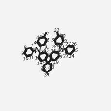 Cc1ccc(N(c2ccccc2)c2ccc(C3(c4ccc(N(c5ccccc5)c5ccc(C)cc5)cc4)CCCCC3)cc2)cc1